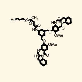 COc1cc2c(cc1OCc1cc(COc3cc4c(cc3OC)C(=O)N3c5ccccc5C[C@H]3CN4)cc(NC(=O)CCC(C)(C)SSCCCC(C)=O)c1)N=C[C@@H]1Cc3ccccc3N1C2=O